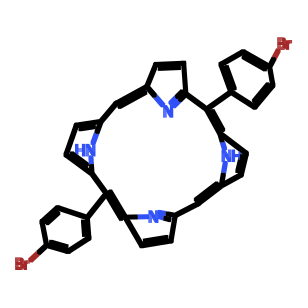 Brc1ccc(-c2c3nc(cc4ccc([nH]4)c(-c4ccc(Br)cc4)c4nc(cc5ccc2[nH]5)C=C4)C=C3)cc1